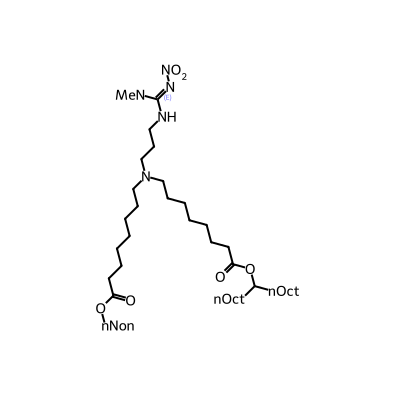 CCCCCCCCCOC(=O)CCCCCCCN(CCCCCCCC(=O)OC(CCCCCCCC)CCCCCCCC)CCCN/C(=N/[N+](=O)[O-])NC